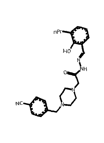 CCCc1cccc(C=NNC(=O)CN2CCN(Cc3ccc(C#N)cc3)CC2)c1O